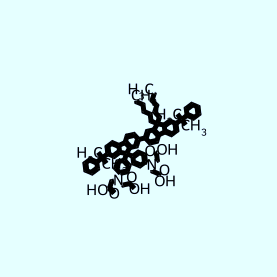 CCCCCCC1(CCCCCC)c2cc(-c3ccc4c(c3)C(c3ccc(N(CC(=O)O)CC(=O)O)cc3)(c3ccc(N(CC(=O)O)CC(=O)O)cc3)c3cc(C(C)(C)c5ccccc5)ccc3-4)ccc2-c2ccc(C(C)(C)c3ccccc3)cc21